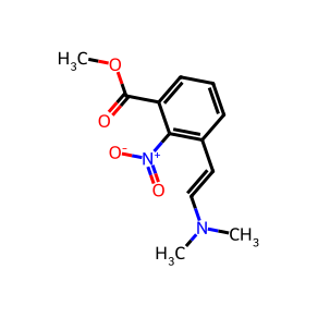 COC(=O)c1cccc(C=CN(C)C)c1[N+](=O)[O-]